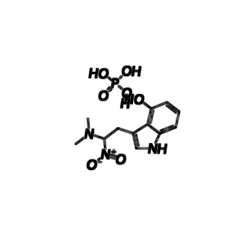 CN(C)C(Cc1c[nH]c2cccc(O)c12)[N+](=O)[O-].O=P(O)(O)O